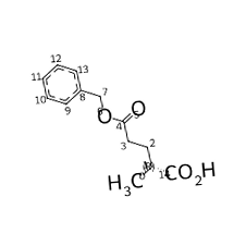 C[C@H](CCC(=O)OCc1ccccc1)C(=O)O